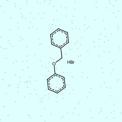 Br.c1ccc(COc2ccccc2)cc1